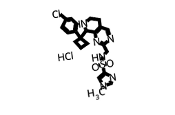 Cl.Cn1cnc(S(=O)(=O)NCc2ncc3c(n2)C(C2(c4ccc(Cl)cc4)CCC2)NCC3)c1